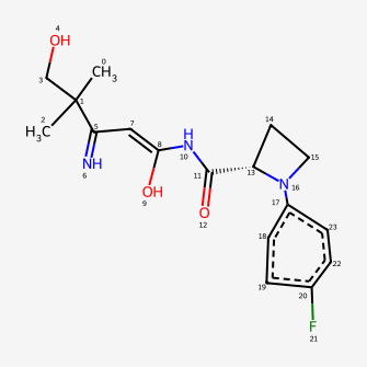 CC(C)(CO)C(=N)/C=C(\O)NC(=O)[C@@H]1CCN1c1ccc(F)cc1